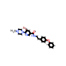 CN1CCN(c2ncc(C(=O)NCCc3ccc(Oc4ccccc4)cc3)cc2Br)CC1